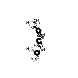 COc1cc(Nc2nc3cc(S(=O)(=O)Nc4ccc(C(=O)OC(C)C)cc4)ccc3[nH]2)cc(OC)c1